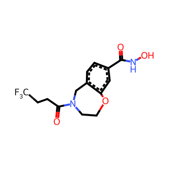 O=C(NO)c1ccc2c(c1)OCCN(C(=O)CCC(F)(F)F)C2